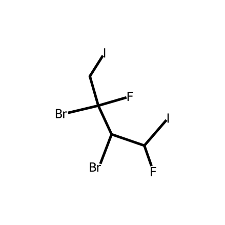 FC(I)C(Br)C(F)(Br)CI